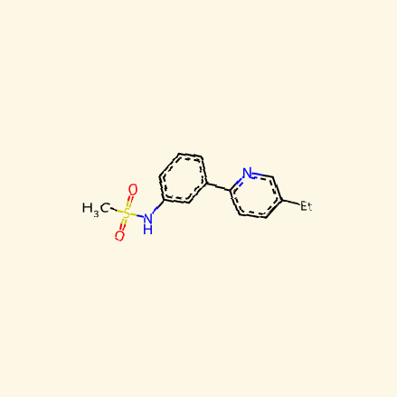 CCc1ccc(-c2cccc(NS(C)(=O)=O)c2)nc1